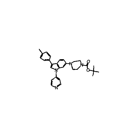 Cc1ccc(-c2cn(-c3ccncc3)c3cc(N4CCN(C(=O)OC(C)(C)C)CC4)ccc23)cc1